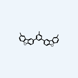 Cc1cc(-c2ccc3oc4ccc(C)cc4c3c2)cc(-c2ccc3oc4ccc(C)cc4c3c2)c1